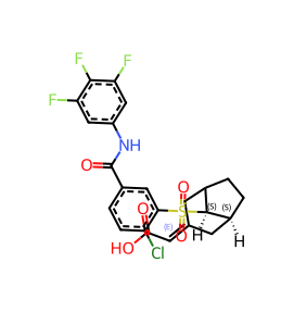 O=C(O)/C=C1\CC2CC[C@@H](C1)[C@H]2S(=O)(=O)c1cc(C(=O)Nc2cc(F)c(F)c(F)c2)ccc1Cl